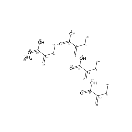 C=C(CC)C(=O)O.C=C(CC)C(=O)O.C=C(CC)C(=O)O.C=C(CC)C(=O)O.[SiH4]